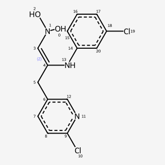 ON(O)/C=C(/Cc1ccc(Cl)nc1)Nc1cccc(Cl)c1